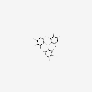 Cc1cc(C)c(B(c2c(C)cc(C)c(Br)c2C)c2c(C)cc(C)c(Br)c2C)c(C)c1Br